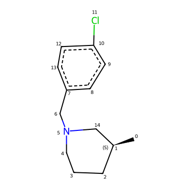 C[C@H]1CCCN(Cc2ccc(Cl)cc2)C1